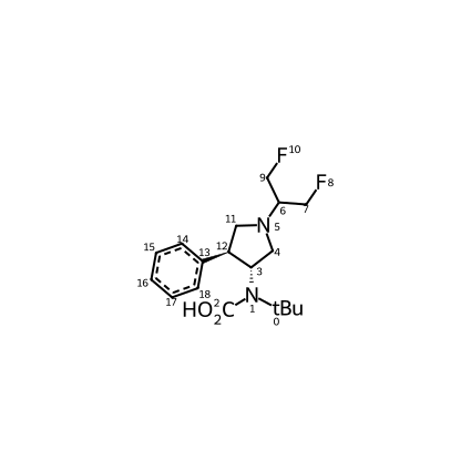 CC(C)(C)N(C(=O)O)[C@H]1CN(C(CF)CF)C[C@@H]1c1ccccc1